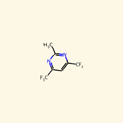 Cc1nc(C(F)(F)F)[c]c(C(F)(F)F)n1